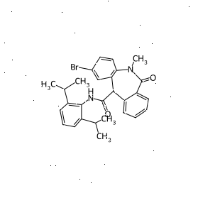 CC(C)c1cccc(C(C)C)c1NC(=O)C1c2ccccc2C(=O)N(C)c2ccc(Br)cc21